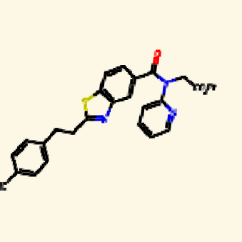 CCOC(=O)CN(C(=O)c1ccc2sc(CCc3ccc(C#N)cc3)nc2c1)c1ccccn1